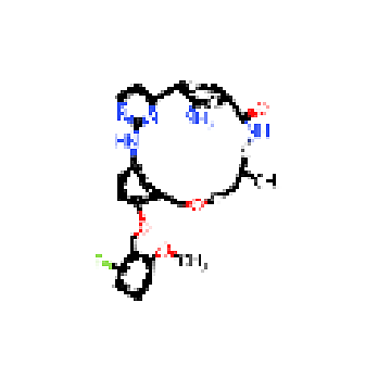 COc1cccc(F)c1COc1ccc2cc1COCCC(C)CNC(=O)c1ccc(c(N)c1)-c1ccnc(n1)N2